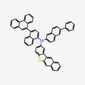 c1ccc(-c2ccc3cc(N(c4ccc5sc6cc7ccccc7cc6c5c4)c4ccc(-c5cc6ccccc6c6ccccc56)c5ccccc45)ccc3c2)cc1